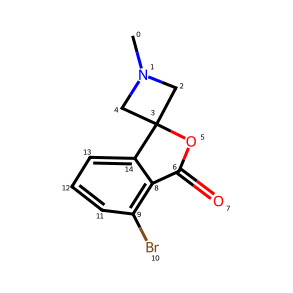 CN1CC2(C1)OC(=O)c1c(Br)cccc12